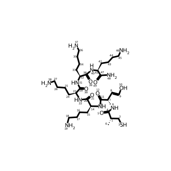 C[C@@H](CS)C(=O)N[C@@H](/C=C/O)C(=O)N[C@@H](CCCCN)C(=O)N[C@@H](CCCCN)C(=O)N[C@@H](CCCCN)C(=O)N[C@@H](CCCCN)C(N)=O